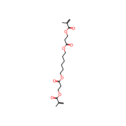 C=C(C)C(=O)OCCC(=O)OCCCCCCOC(=O)CCOC(=O)C(=C)C